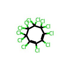 ClC1=C(\Cl)C(Cl)(Cl)C(Cl)(Cl)C(Cl)(Cl)C(Cl)(Cl)/C(Cl)=C\1Cl